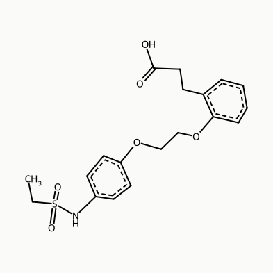 CCS(=O)(=O)Nc1ccc(OCCOc2ccccc2CCC(=O)O)cc1